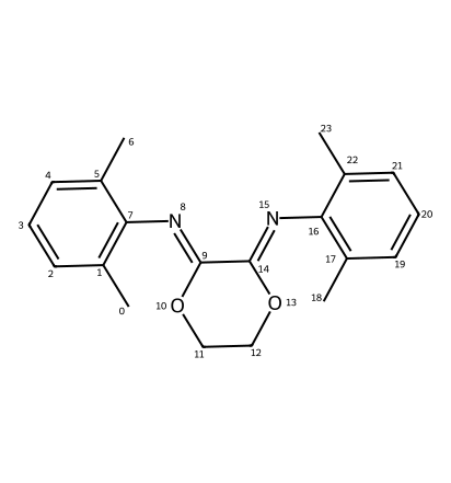 Cc1cccc(C)c1N=C1OCCOC1=Nc1c(C)cccc1C